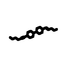 CCCC=CC1CCC(C2CCC(C#CCCCC)CC2)CC1